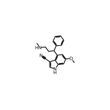 CNCCC(c1ccccc1)c1cc(OC)cc2[nH]cc(C#N)c12